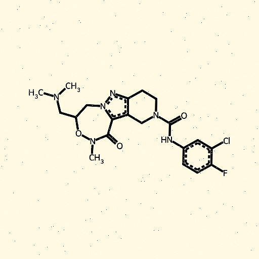 CN(C)CC1Cn2nc3c(c2C(=O)N(C)O1)CN(C(=O)Nc1ccc(F)c(Cl)c1)CC3